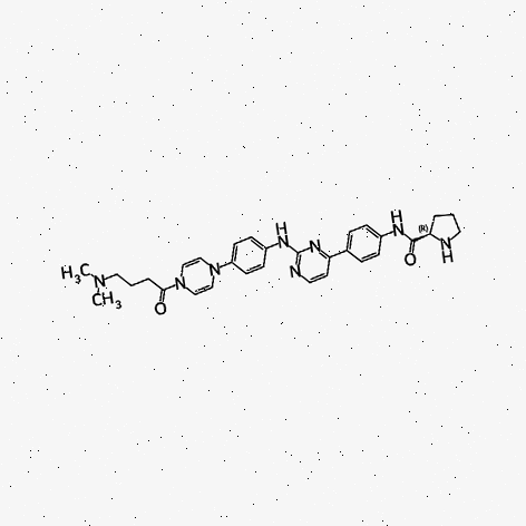 CN(C)CCCC(=O)N1C=CN(c2ccc(Nc3nccc(-c4ccc(NC(=O)[C@H]5CCCN5)cc4)n3)cc2)C=C1